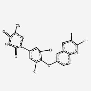 Cc1cc2cc(Oc3c(Cl)cc(-n4nc(C#N)c(=O)[nH]c4=O)cc3Cl)ccc2nc1Cl